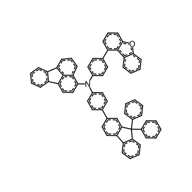 c1ccc(C2(c3ccccc3)c3ccccc3-c3ccc(-c4ccc(N(c5ccc(-c6cccc7oc8ccccc8c67)cc5)c5ccc6c7c(cccc57)-c5ccccc5-6)cc4)cc32)cc1